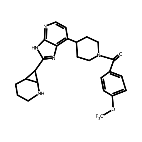 O=C(c1ccc(OC(F)(F)F)cc1)N1CCC(c2ccnc3[nH]c(C4C5CCCNC54)nc23)CC1